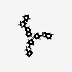 c1ccc2nc(-c3ccc(N(c4ccc(-c5ncc6ccccc6n5)cc4)c4ccc5cc(-c6ncnc7c6sc6ccccc67)ccc5c4)cc3)ncc2c1